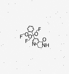 O=C1NCCc2ncc(C(OCF)(OCF)c3ccccc3OCF)cc21